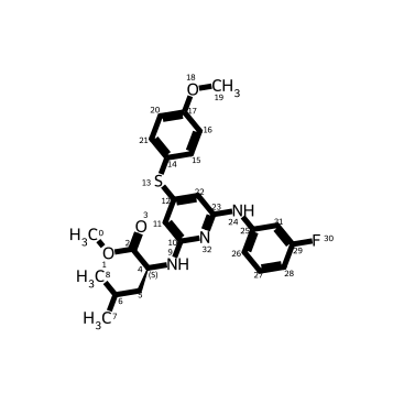 COC(=O)[C@H](CC(C)C)Nc1cc(Sc2ccc(OC)cc2)cc(Nc2cccc(F)c2)n1